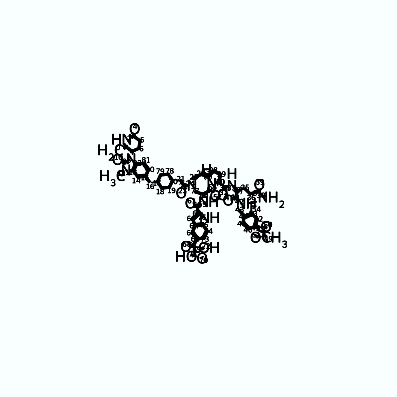 C=C1NC(=O)CCC1n1c(=O)n(C)c2cc(C[C@H]3CC[C@@H](CC(=O)N4CC[C@H]5CC[C@@H](C(=O)N[C@@H](CCC(N)=O)C(=O)NCc6ccc(S(C)(=O)=O)cc6F)N5C(=O)[C@@H](NC(=O)c5cc6cc(C(=O)P(=O)(O)O)ccc6[nH]5)C4)CC3)ccc21